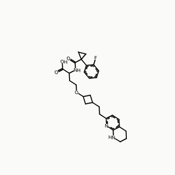 O=C(O)C(CCOC1CC(CCc2ccc3c(n2)NCCC3)C1)NC(=O)C1(c2ccccc2F)CC1